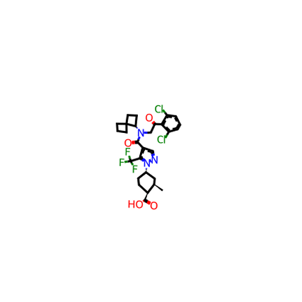 C[C@@H]1C[C@@H](n2ncc(C(=O)N(CC(=O)c3c(Cl)cccc3Cl)[C@H]3CCC34CCC4)c2C(F)(F)F)CC[C@@H]1C(=O)O